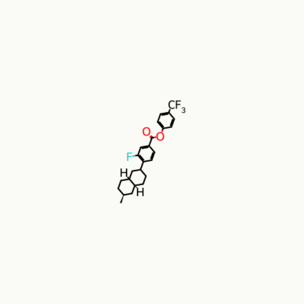 C[C@H]1CC[C@@H]2CC(c3ccc(C(=O)Oc4ccc(C(F)(F)F)cc4)cc3F)CC[C@H]2C1